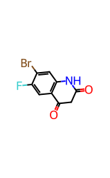 O=C1CC(=O)c2cc(F)c(Br)cc2N1